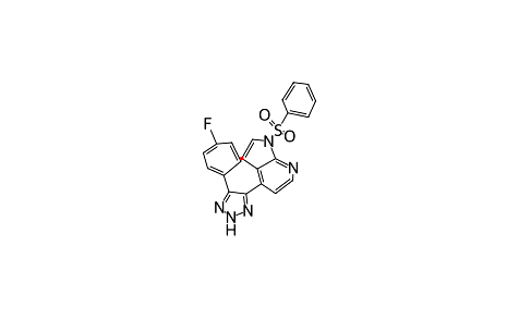 O=S(=O)(c1ccccc1)n1ccc2c(-c3n[nH]nc3-c3ccc(F)cc3)ccnc21